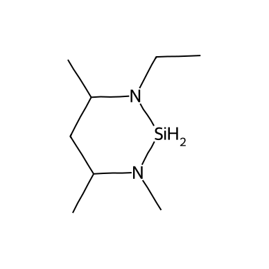 CCN1[SiH2]N(C)C(C)CC1C